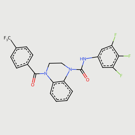 O=C(Nc1cc(F)c(F)c(F)c1)N1CCN(C(=O)c2ccc(C(F)(F)F)cc2)c2ccccc21